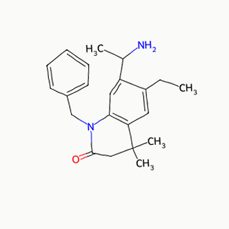 CCc1cc2c(cc1C(C)N)N(Cc1ccccc1)C(=O)CC2(C)C